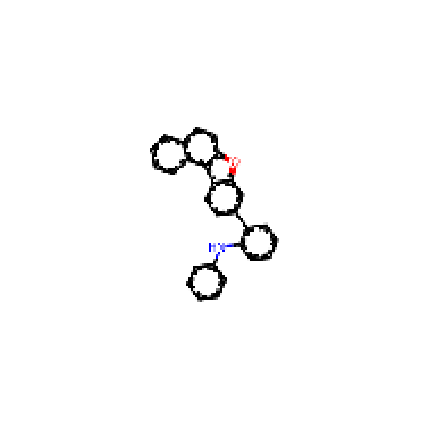 c1ccc(Nc2ccccc2-c2ccc3c(c2)oc2ccc4ccccc4c23)cc1